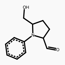 O=CC1CCC(CO)N1c1ccccc1